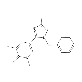 C=C1C(C)=CC(c2nc(C)cn2Cc2ccccc2)=CN1C